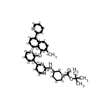 Cc1ccc2c(-c3ccccn3)cccc2c1Oc1ncccc1-c1ccnc(NC2CCCN(C(=O)OC(C)(C)C)C2)n1